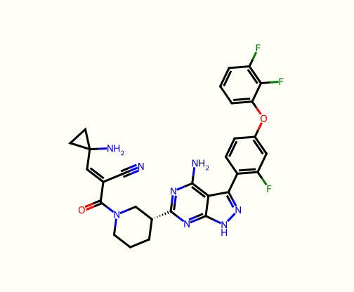 N#CC(=CC1(N)CC1)C(=O)N1CCC[C@@H](c2nc(N)c3c(-c4ccc(Oc5cccc(F)c5F)cc4F)n[nH]c3n2)C1